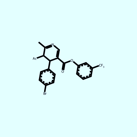 CC(=O)C1C(C)=NC=C(C(=O)Oc2cccc(C(F)(F)F)c2)C1c1ccc(Br)cc1